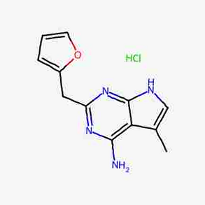 Cc1c[nH]c2nc(Cc3ccco3)nc(N)c12.Cl